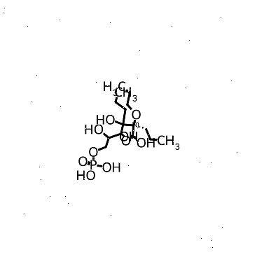 CCCO[C@@](CCC)(C(=O)O)C(O)(CCC)C(O)C(O)COP(=O)(O)O